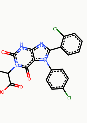 CC(C(=O)O)n1c(=O)[nH]c2nc(-c3ccccc3Cl)n(-c3ccc(Cl)cc3)c2c1=O